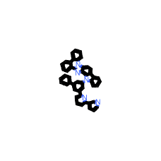 c1ccc(-c2cc(-c3cccc(-c4cccnc4)n3)cc(-n3c4ccccc4c4ccc5c(nc6c7ccccc7c7ccccc7n56)c43)c2)cc1